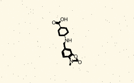 Cn1c(=O)oc2cc(CN[C@H]3CC[C@H](C(=O)O)CC3)ccc21